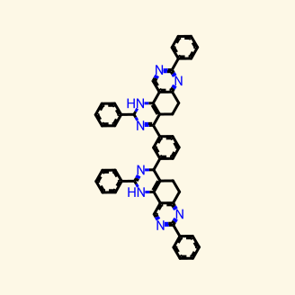 c1ccc(C2=NC(c3cccc(C4=NC(c5ccccc5)NC5=C4CCc4nc(-c6ccccc6)ncc45)c3)C3=C(N2)c2cnc(-c4ccccc4)nc2CC3)cc1